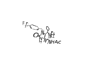 CCn1c(NC(C)=O)nc2[nH]c(=O)n(Cc3ccc(C(F)(F)F)cc3)c2c1=O